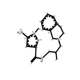 C=C(NCC(C)CN1CCc2ccccc2C1)c1cc(N)n(C)n1